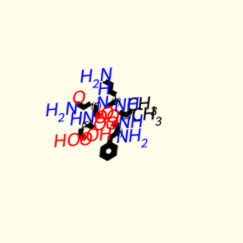 CC(C)[C@H](NC(=O)[C@@H](N)Cc1ccccc1)C(=O)N[C@@H](CCCCN)C(=O)N[C@@H](CCC(N)=O)C(=O)N[C@@H](CC(=O)O)C(=O)O